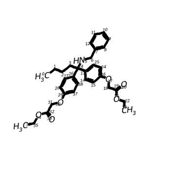 CC[CH]CC(NCc1ccccc1)(c1ccc(OCC(=O)OCC)cc1)c1ccc(OCC(=O)OCC)cc1